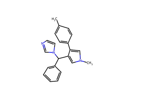 Cc1ccc(-c2cn(C)cc2C(c2ccccc2)n2ccnc2)cc1